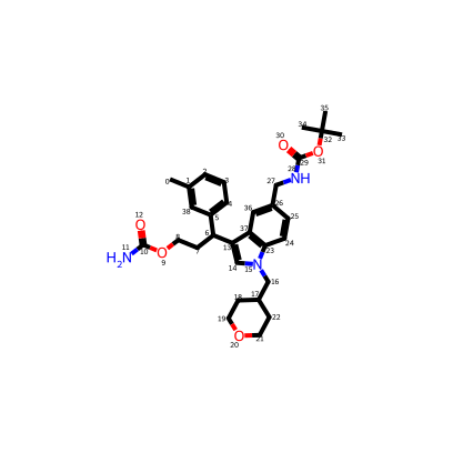 Cc1cccc(C(CCOC(N)=O)c2cn(CC3CCOCC3)c3ccc(CNC(=O)OC(C)(C)C)cc23)c1